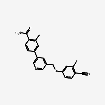 Cc1cc(-c2cncc(COc3ccc(C#N)c(F)c3)c2)ccc1C(N)=O